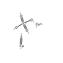 O=S(=O)([O-])[O-].[Co+2].[S]=[Co]